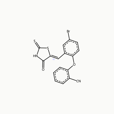 N#Cc1ccccc1Oc1ccc(Br)cc1/C=C1\SC(=S)NC1=O